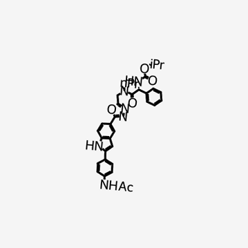 CCCN(Cc1nnc(-c2ccc3[nH]c(-c4ccc(NC(C)=O)cc4)cc3c2)o1)C(=O)[C@H](NC(=O)OC(C)C)c1ccccc1